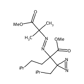 COC(=O)C(C)(C)N=NC(CCC(C)C)(C(=O)OC)C1(CC(C)C)N=N1